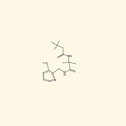 C=C(CC(C)(C)C)NC(C)(C)C(=C)NCc1ncccc1SC